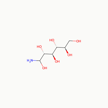 NC(O)[C@H](O)[C@H](O)[C@H](O)[C@H](O)CO